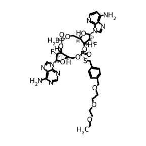 B[P@]1(=O)OC[C@H]2O[C@@H](n3cnc4c(N)ccnc43)[C@H](F)[C@@H]2O[P@](=O)(SCc2ccc(COCCOCCOCC)cc2)OC[C@H]2O[C@@H](n3cnc4c(N)ncnc43)[C@H](F)[C@@H]2O1